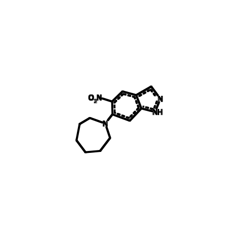 O=[N+]([O-])c1cc2cn[nH]c2cc1N1CCCCCC1